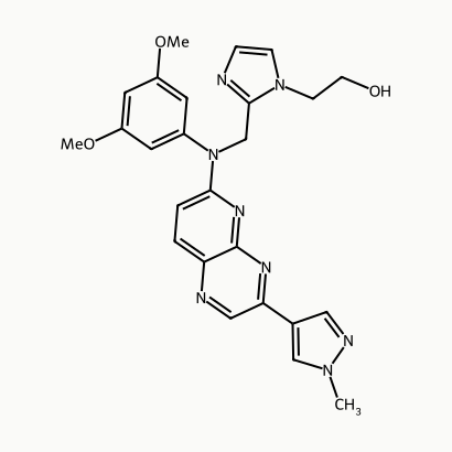 COc1cc(OC)cc(N(Cc2nccn2CCO)c2ccc3ncc(-c4cnn(C)c4)nc3n2)c1